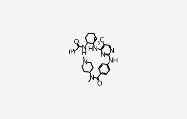 CC(C)C(=O)NC1CCCCC1Nc1nc(Nc2ccc(C(=O)N(C)C3CCN(C)CC3)cc2)ncc1C(F)(F)F